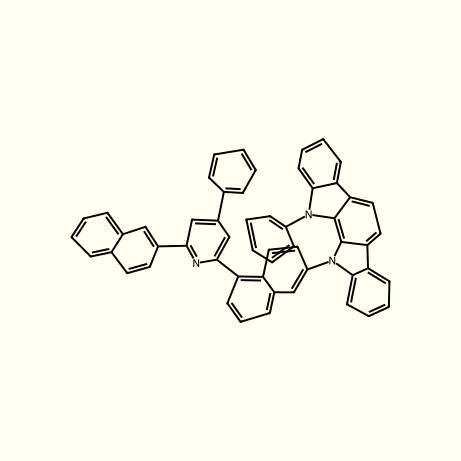 c1ccc(-c2cc(-c3ccc4ccccc4c3)nc(-c3cccc4cc(-n5c6ccccc6c6ccc7c8ccccc8n(-c8ccccc8)c7c65)ccc34)c2)cc1